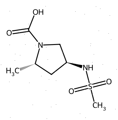 C[C@H]1C[C@H](NS(C)(=O)=O)CN1C(=O)O